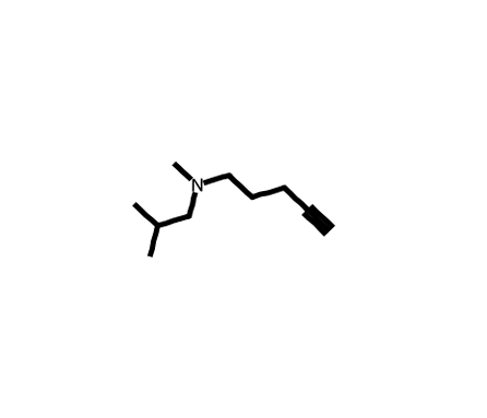 C#CCCCN(C)CC(C)C